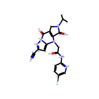 CC(C)N1Cc2c(n(CC(=O)Nc3ccc(F)cn3)c3cc(C#N)nn3c2=O)C1=O